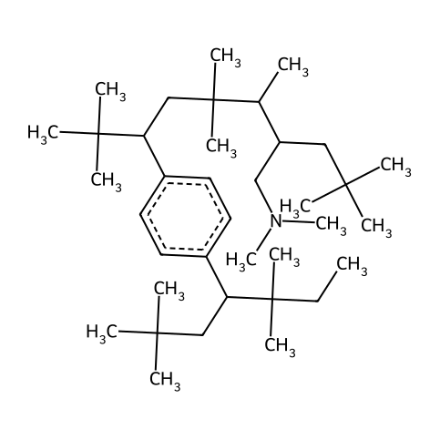 CCC(C)(C)C(CC(C)(C)C)c1ccc(C(CC(C)(C)C(C)C(CN(C)C)CC(C)(C)C)C(C)(C)C)cc1